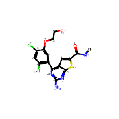 CCNC(=O)c1cc2c(-c3cc(OCCO)c(Cl)cc3Cl)nc(N)nc2s1